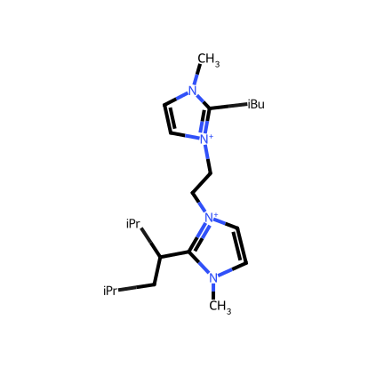 CCC(C)c1n(C)cc[n+]1CC[n+]1ccn(C)c1C(CC(C)C)C(C)C